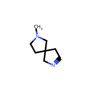 CN1CCC2(CC#[N+]C2)C1